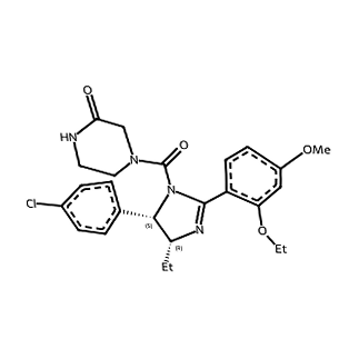 CCOc1cc(OC)ccc1C1=N[C@H](CC)[C@H](c2ccc(Cl)cc2)N1C(=O)N1CCNC(=O)C1